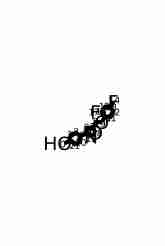 Oc1ccc(-c2cc(COc3ccc(F)cc3F)on2)cc1